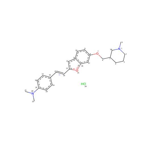 CN1CCCC(COc2ccc3cc(/C=C/c4ccc(N(C)C)cc4)oc3c2)C1.Cl